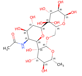 CC(=O)N[C@H]1[C@@H](O)[C@H](O)[C@@H](CO)O[C@H]1[C@@]1(O)[C@H](OC[C@H]2O[C@H](O)[C@H](O)[C@@H](O)[C@@H]2O)O[C@H](C)[C@@H](O)[C@@H]1O